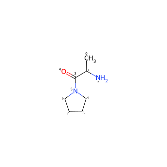 CC(N)C(=O)N1CCCC1